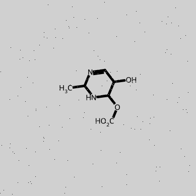 CC1N=CC(O)C(OC(=O)O)N1